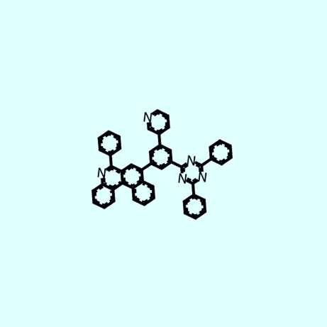 c1ccc(-c2nc(-c3ccccc3)nc(-c3cc(-c4cccnc4)cc(-c4cc5c(-c6ccccc6)nc6ccccc6c5c5ccccc45)c3)n2)cc1